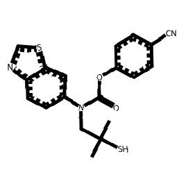 CC(C)(S)CN(C(=O)Oc1ccc(C#N)cc1)c1ccc2ncsc2c1